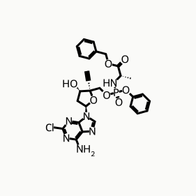 C#C[C@]1(CO[P@](=O)(N[C@@H](C)C(=O)OCc2ccccc2)Oc2ccccc2)O[C@@H](n2cnc3c(N)nc(Cl)nc32)C[C@@H]1O